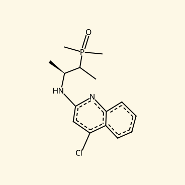 CC([C@H](C)Nc1cc(Cl)c2ccccc2n1)P(C)(C)=O